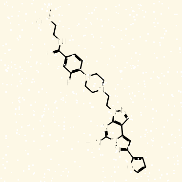 C[S@+]([O-])CCNC(=O)c1ccc(N2CCN(CCn3ncc4c3nc(N)n3nc(-c5ccco5)cc43)CC2)c(F)c1